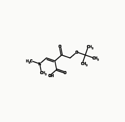 CN(C)/C=C(\C(=O)O)C(=O)COC(C)(C)C